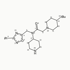 CC(C)c1noc(CN(C(=O)CN2CCC(C(C)(C)C)CC2)C2CCNCC2)n1